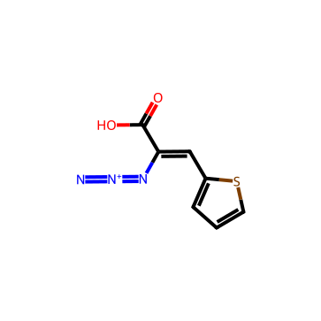 [N-]=[N+]=N/C(=C\c1cccs1)C(=O)O